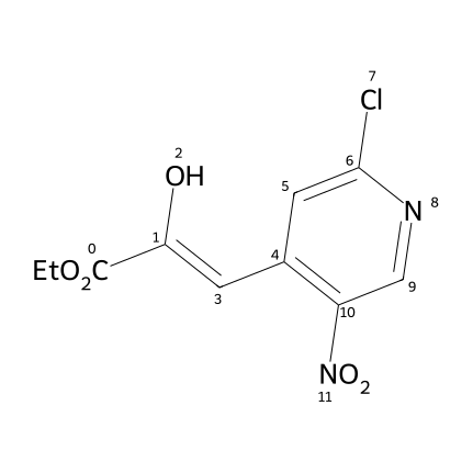 CCOC(=O)/C(O)=C/c1cc(Cl)ncc1[N+](=O)[O-]